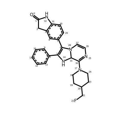 O=C1Cc2cc(C3=C(c4ccccc4)NC4C(N5CCC(CF)CC5)=NC=CN34)ccc2N1